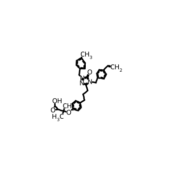 C=Cc1ccc(Cn2c(CCCc3ccc(OC(C)(C)C4OC4O)cc3)nn(Cc3ccc(C)cc3)c2=O)cc1